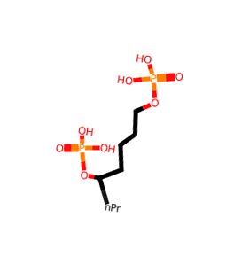 CCCC(CCCCOP(=O)(O)O)OP(=O)(O)O